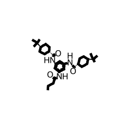 CCCC(=O)Nc1cc(NC(=O)[C@H]2CC[C@H](C(C)(C)C)CC2)cc(NC(=O)[C@H]2CC[C@H](C(C)(C)C)CC2)c1